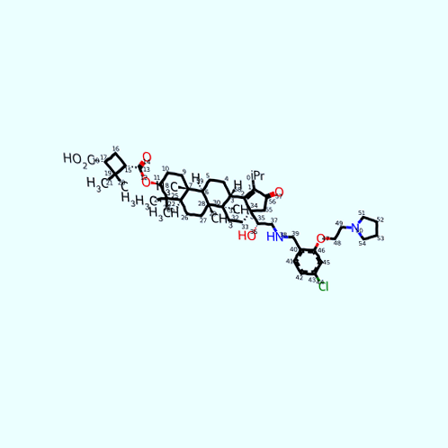 CC(C)C1=C2[C@H]3CC[C@@H]4[C@@]5(C)CC[C@H](OC(=O)[C@H]6C[C@@H](C(=O)O)C6(C)C)C(C)(C)[C@@H]5CC[C@@]4(C)[C@]3(C)CC[C@@]2([C@@H](O)CNCc2ccc(Cl)cc2OCCN2CCCC2)CC1=O